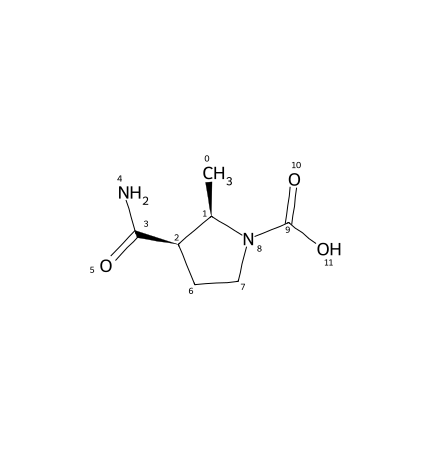 C[C@@H]1[C@H](C(N)=O)CCN1C(=O)O